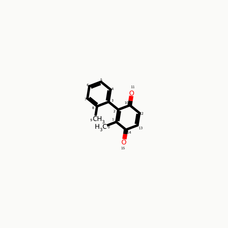 CC1=C(c2ccccc2C)C(=O)C=CC1=O